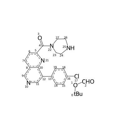 CC(C)(C)OC=O.O=C(c1ccc2cncc(-c3ccc(Cl)cc3)c2n1)N1CCNCC1